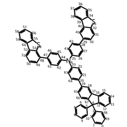 c1ccc(C2(c3ccccc3)c3ccccc3-c3cc(-c4ccc(N(c5ccc(-c6ccc7sc8ccccc8c7c6)cc5)c5ccc(-c6cccc7c6sc6ccccc67)cc5)cc4)ccc32)cc1